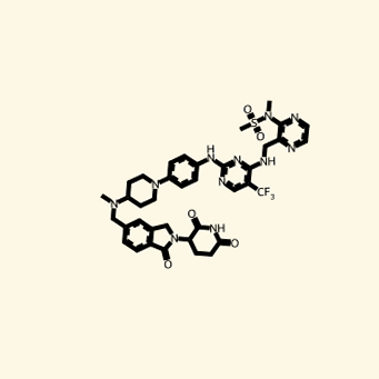 CN(Cc1ccc2c(c1)CN(C1CCC(=O)NC1=O)C2=O)C1CCN(c2ccc(Nc3ncc(C(F)(F)F)c(NCc4nccnc4N(C)S(C)(=O)=O)n3)cc2)CC1